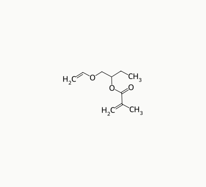 C=COCC(CC)OC(=O)C(=C)C